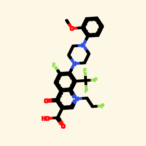 COc1ccccc1N1CCN(c2c(F)cc3c(=O)c(C(=O)O)cn(CCF)c3c2C(F)(F)F)CC1